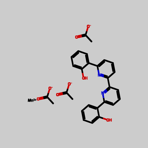 CC(=O)[O-].CC(=O)[O-].CC(=O)[O-].Oc1ccccc1-c1cccc(-c2cccc(-c3ccccc3O)n2)n1.[Mn+3]